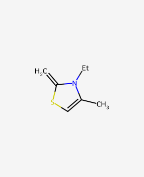 C=C1SC=C(C)N1CC